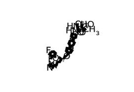 CCC(C(C)O)N(NC=O)C(=O)Nc1ccc(N2CCN(c3ccc(OCC[C@@H](CCCn4cncn4)COc4ccc(F)cc4F)cc3)CC2)cc1